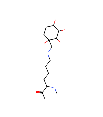 CNC(CCCCNCC1(O)CCC(O)C(O)C1O)C(C)=O